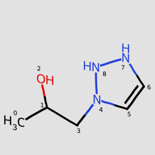 CC(O)CN1C=CNN1